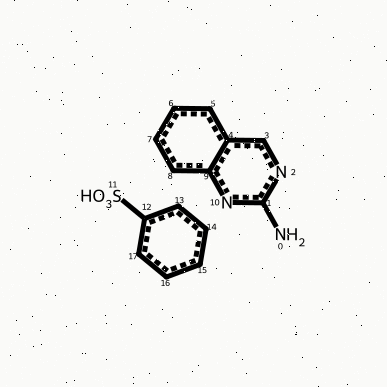 Nc1ncc2ccccc2n1.O=S(=O)(O)c1ccccc1